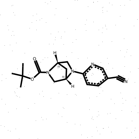 CC(C)(C)OC(=O)N1C[C@@H]2C[C@H]1CN2c1ccc(C#N)cn1